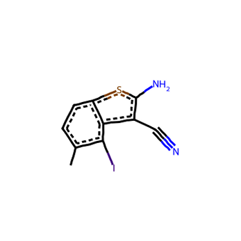 Cc1ccc2sc(N)c(C#N)c2c1I